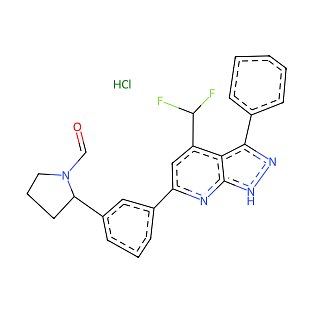 Cl.O=CN1CCCC1c1cccc(-c2cc(C(F)F)c3c(-c4ccccc4)n[nH]c3n2)c1